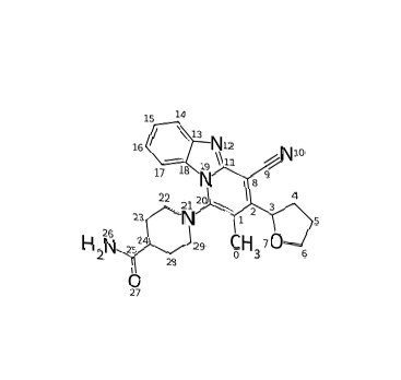 Cc1c(C2CCCO2)c(C#N)c2nc3ccccc3n2c1N1CCC(C(N)=O)CC1